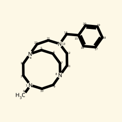 CN1CCN2CCCN(CC1)CCN(Cc1ccccc1)CC2